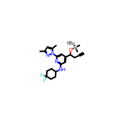 C#CCC(O[Si](C)(C)C(C)(C)C)c1cc(NC2CCC(F)(F)CC2)nc(-n2nc(C)cc2C)c1